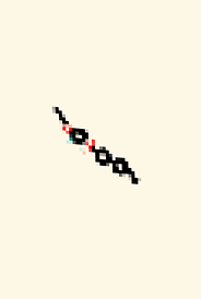 CCCCOc1ccc(OC(=O)C2CCC(C3CCC(CCC)CC3)CC2)c(F)c1F